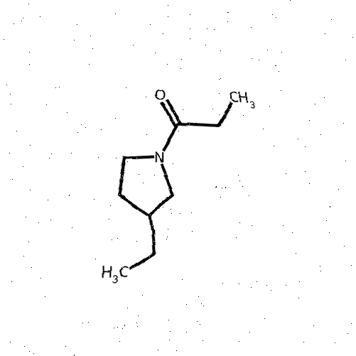 CCC(=O)N1CCC(CC)C1